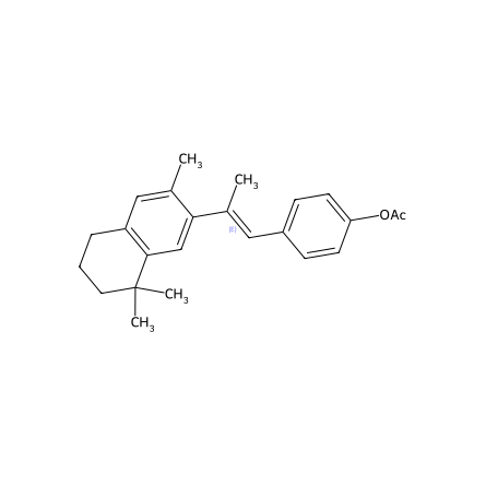 CC(=O)Oc1ccc(/C=C(\C)c2cc3c(cc2C)CCCC3(C)C)cc1